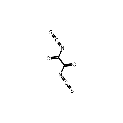 O=C(N=C=S)C(=O)N=C=S